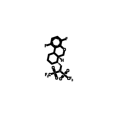 O=S(=O)(N(C[C@@H]1CCCC2c3c(F)ccc(F)c3OC[C@H]21)S(=O)(=O)C(F)(F)F)C(F)(F)F